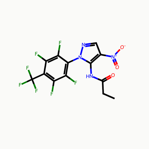 CCC(=O)Nc1c([N+](=O)[O-])cnn1-c1c(F)c(F)c(C(F)(F)F)c(F)c1F